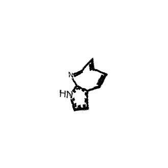 C1=C\c2cc[nH]c2/N=C/C=C/1